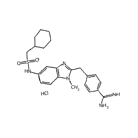 Cl.Cn1c(Cc2ccc(C(=N)N)cc2)nc2cc(NS(=O)(=O)CC3CCCCC3)ccc21